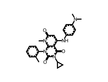 Cc1ccccc1-n1c(=O)n(C2CC2)c(=O)c2c(Nc3ccc(N(C)C)cc3)cc(=O)n(C)c21